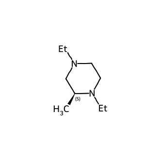 CCN1CCN(CC)[C@@H](C)C1